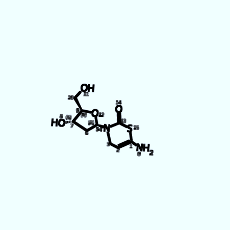 NC1=CCN([C@H]2C[C@H](O)[C@@H](CO)O2)C(=O)S1